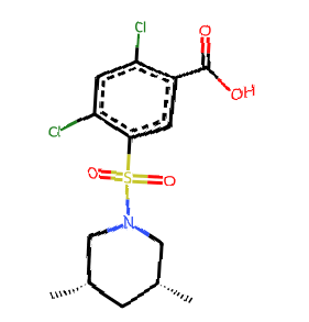 C[C@@H]1C[C@H](C)CN(S(=O)(=O)c2cc(C(=O)O)c(Cl)cc2Cl)C1